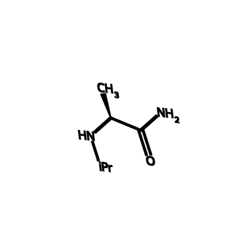 CC(C)N[C@@H](C)C(N)=O